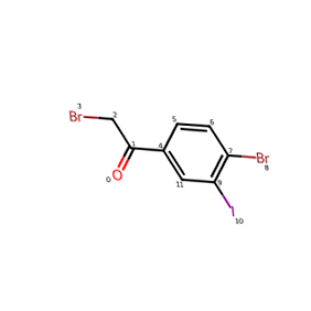 O=C(CBr)c1ccc(Br)c(I)c1